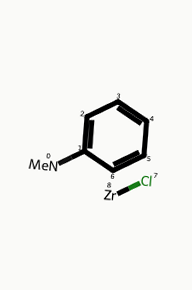 CNc1ccccc1.[Cl][Zr]